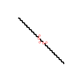 CCCCCCCC=CCCCCCCCCC(=O)OCC(=O)COC(=O)CCCCCCCC=CCCCCCCCC